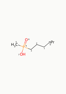 CCCCCCP(C)(=O)O